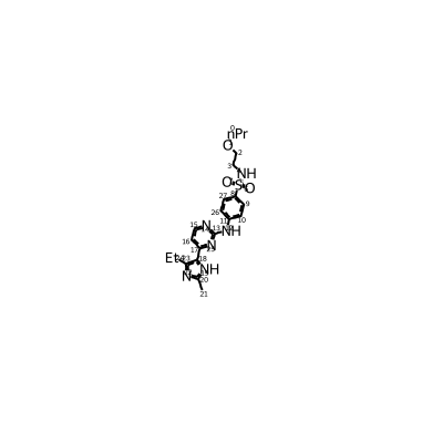 CCCOCCNS(=O)(=O)c1ccc(Nc2nccc(-c3[nH]c(C)nc3CC)n2)cc1